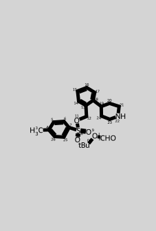 CC(C)(C)OC=O.Cc1ccc(S(=O)(=O)OCc2ccccc2C2CCNCC2)cc1